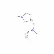 C/N=C\N(C)C[C@H]1CCN(C)C1